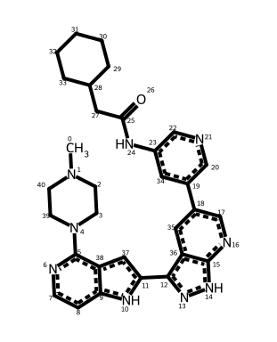 CN1CCN(c2nccc3[nH]c(-c4n[nH]c5ncc(-c6cncc(NC(=O)CC7CCCCC7)c6)cc45)cc23)CC1